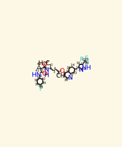 C=C/C(=C\C=C(/C)Oc1ccnc2cc(-c3cc(C(F)(F)F)[nH]n3)ccc12)NC(=O)C1(C(=O)Nc2ccc(F)cc2)CC1